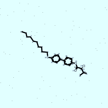 CCCCCCCCCCSc1ccc(-c2ccc(OC(=O)[C@@H](Cl)C(C)C)cc2)cc1